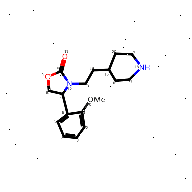 COc1ccccc1C1COC(=O)N1CCC1CCNCC1